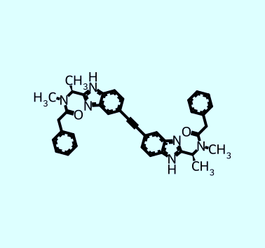 C[C@@H](c1nc2cc(C#Cc3ccc4[nH]c([C@H](C)N(C)C(=O)Cc5ccccc5)nc4c3)ccc2[nH]1)N(C)C(=O)Cc1ccccc1